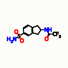 NS(=O)(=O)c1ccc2c(c1)CC(NC(=O)C(F)(F)F)C2